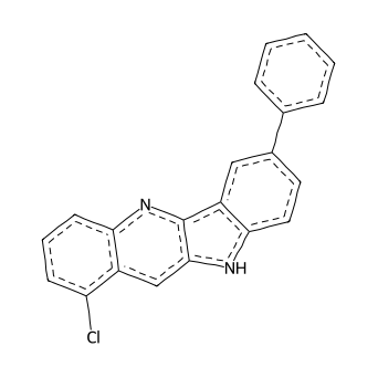 Clc1cccc2nc3c(cc12)[nH]c1ccc(-c2ccccc2)cc13